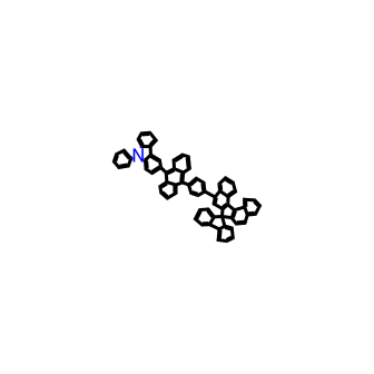 c1ccc(-n2c3ccccc3c3cc(-c4c5ccccc5c(-c5ccc(-c6cc7c(c8ccccc68)-c6c(ccc8ccccc68)C76c7ccccc7-c7ccccc76)cc5)c5ccccc45)ccc32)cc1